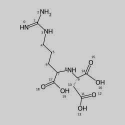 N=C(N)NCCCC(N[C@@H](CC(=O)O)C(=O)O)C(=O)O